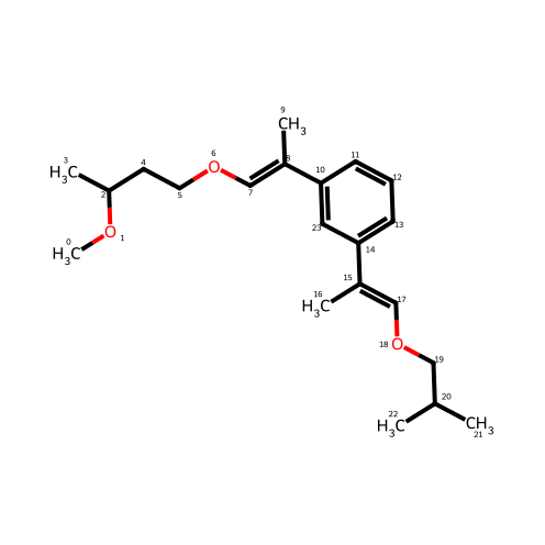 COC(C)CCOC=C(C)c1cccc(C(C)=COCC(C)C)c1